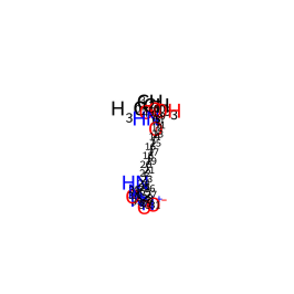 CC(C)(C)OC(=O)N[C@@H](CO)COCCCCCCCCCCCNc1ccc([N+](=O)[O-])c2nonc12